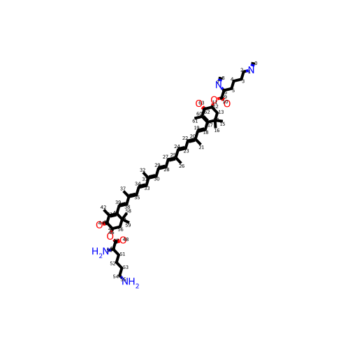 C=NCCCCC(N=C)C(=O)OC1CC(C)(C)C(/C=C/C(C)=C/C=C/C(C)=C/C=C/C=C(C)/C=C/C=C(C)/C=C/C2=C(C)C(=O)C(OC(=O)C(N)CCCCN)CC2(C)C)=C(C)C1=O